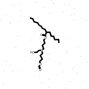 CCCCCCCCC(CCCCCC)C(=O)OCCCCN(CCO)CCCCOC=O